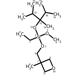 CC[Si](OC)(OCC1(C)COC1)OC(C)(C(C)C)C(C)C